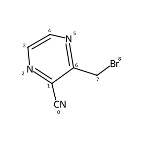 N#Cc1nccnc1CBr